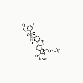 CNC(=O)c1nn(COCC[Si](C)(C)C)c2c(F)c(-c3c(F)ccc(NS(=O)(=O)c4cc(F)cc5c4CCC5=O)c3F)ccc12